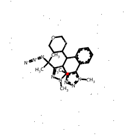 Cc1nnn(C)c1-c1ccccc1C(C1CCOCC1)C1CN(C)N=C1C(C)(C)N=[N+]=[N-]